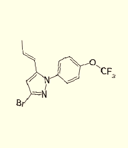 C/C=C/c1cc(Br)nn1-c1ccc(OC(F)(F)F)cc1